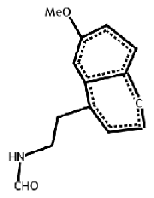 COc1ccc2cccc(CCNC=O)c2c1